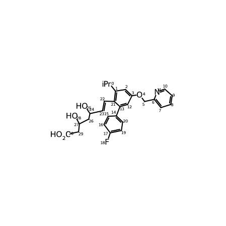 CC(C)c1cc(OCc2ccccn2)cc(-c2ccc(F)cc2)c1/C=C/C(O)CC(O)CC(=O)O